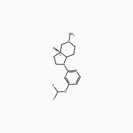 NN1CCC2[C@H](CCN2c2cc(OC(F)F)ccn2)C1